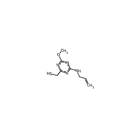 C=CCNc1nc(CS)nc(OC)n1